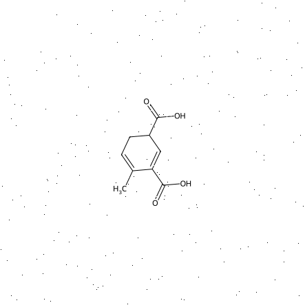 CC1=CCC(C(=O)O)C=C1C(=O)O